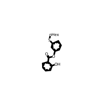 CCCCCCSc1cccc(OC(=O)c2ccccc2O)c1